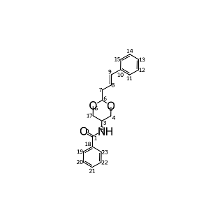 O=C(NC1COC(C/C=C/c2ccccc2)OC1)c1ccccc1